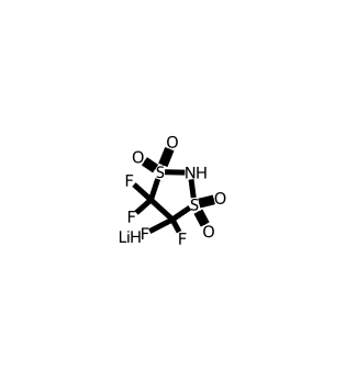 O=S1(=O)NS(=O)(=O)C(F)(F)C1(F)F.[LiH]